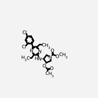 CCc1nc(-c2ccc(Cl)cc2Cl)c(CC)nc1N[C@@H]1CN(C(=O)OC)C[C@@H]1OC(C)=O